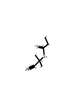 CCC(=S)SC(C)(C)C#N